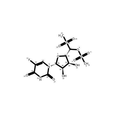 CS(=O)(=O)OC([C@H]1O[C@@H](n2cc(F)c(=O)[nH]c2=O)[C@H](O)[C@@H]1O)S(C)(=O)=O